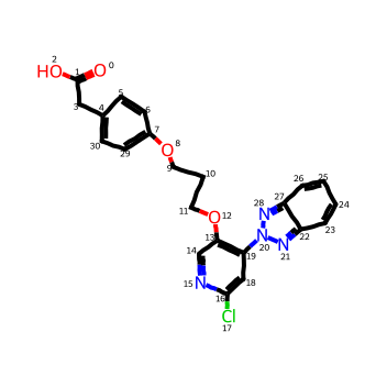 O=C(O)Cc1ccc(OCCCOc2cnc(Cl)cc2-n2nc3ccccc3n2)cc1